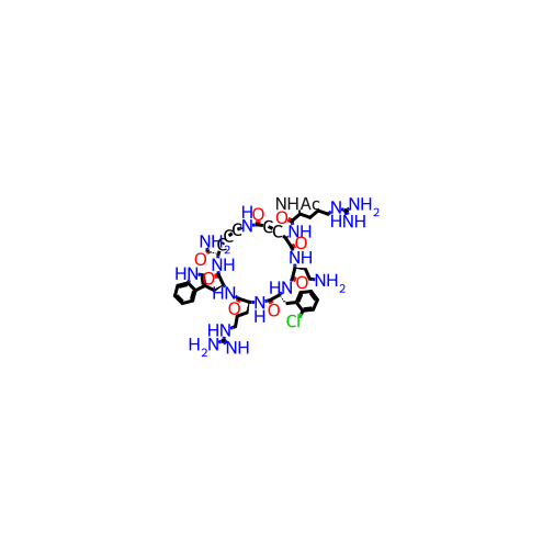 CC(=O)N[C@@H](CCCNC(=N)N)C(=O)N[C@H]1CCC(=O)NCCC[C@@H](C(N)=O)NC(=O)[C@H](Cc2c[nH]c3ccccc23)NC(=O)[C@H](CCCNC(=N)N)NC(=O)[C@@H](Cc2ccccc2Cl)NC(=O)[C@H](CCN)NC1=O